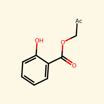 CC(=O)COC(=O)c1ccccc1O